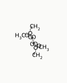 C=CCc1ccc(OC(=O)CCC(=O)Oc2ccc(CC=C)cc2OCC)c(OC)c1